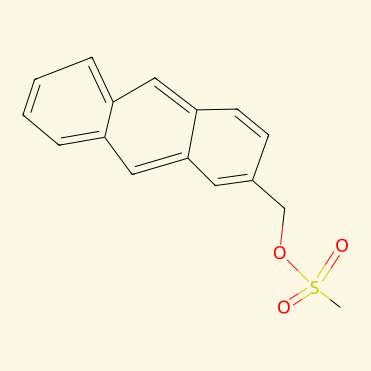 CS(=O)(=O)OCc1ccc2cc3ccccc3cc2c1